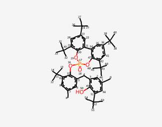 Cc1cc(Cc2cc(C)cc(C(C)(C)C)c2OP2(=O)Oc3c(cc(C(C)(C)C)cc3C(C)(C)C)-c3cc(C(C)(C)C)cc(C(C)(C)C)c3O2)c(O)c(C(C)(C)C)c1